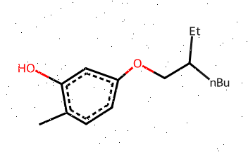 CCCCC(CC)COc1ccc(C)c(O)c1